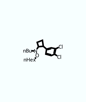 CCCCCCON(CCCC)C1CCC1c1ccc(Cl)c(Cl)c1